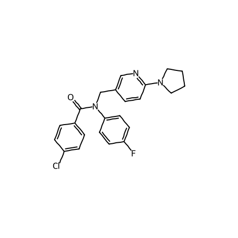 O=C(c1ccc(Cl)cc1)N(Cc1ccc(N2CCCC2)nc1)c1ccc(F)cc1